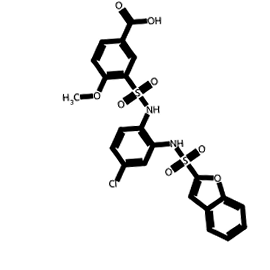 COc1ccc(C(=O)O)cc1S(=O)(=O)Nc1ccc(Cl)cc1NS(=O)(=O)c1cc2ccccc2o1